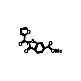 COC(=O)c1ccc2c(=O)n(C(=O)c3ccco3)sc2c1